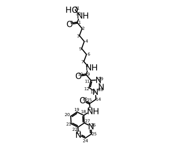 O=C(CCCCCCNC(=O)c1cn(CC(=O)Nc2cccc3nccnc23)nn1)NO